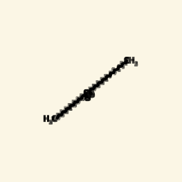 CCCCCCCCC=CCCCCCCCCCC(=O)OC(=O)CCCCCCCCCCCCCCC